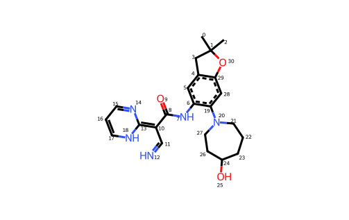 CC1(C)Cc2cc(NC(=O)/C(C=N)=C3\N=CC=CN3)c(N3CCCC(O)CC3)cc2O1